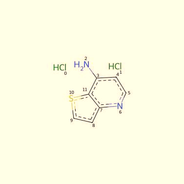 Cl.Cl.Nc1ccnc2ccsc12